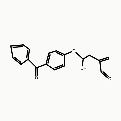 C=C(C=O)CC(O)Oc1ccc(C(=O)c2ccccc2)cc1